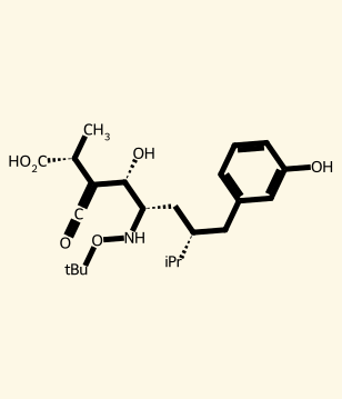 CC(C)[C@@H](Cc1cccc(O)c1)C[C@H](NOC(C)(C)C)[C@@H](O)C(=C=O)[C@@H](C)C(=O)O